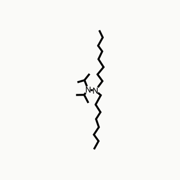 CCCCCCCCN(CCCCCCCC)N(C(C)C)C(C)C